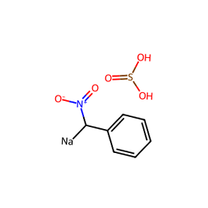 O=S(O)O.O=[N+]([O-])[CH]([Na])c1ccccc1